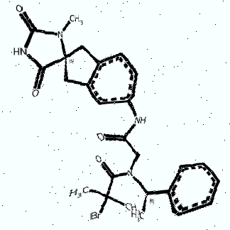 C[C@H](c1ccccc1)N(CC(=O)Nc1ccc2c(c1)C[C@@]1(C2)C(=O)NC(=O)N1C)C(=O)C(C)(C)Br